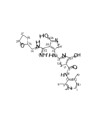 Cc1ncnc(C)c1NC(=O)c1sc(Nc2snc(O)c2C(=N)NCC2CCCO2)nc1O